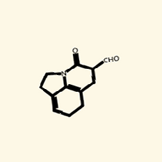 O=CC1CC2=C3C(=CCC2)CCN3C1=O